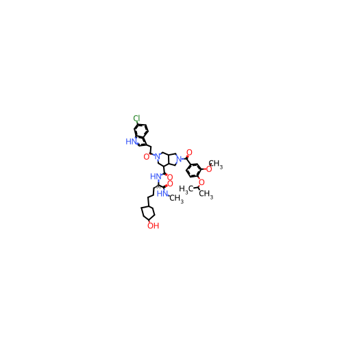 CNC(=O)[C@@H](CCCC1CCC(O)CC1)NC(=O)C1CN(C(=O)Cc2c[nH]c3cc(Cl)ccc23)CC2CN(C(=O)c3ccc(OC(C)C)c(OC)c3)CC21